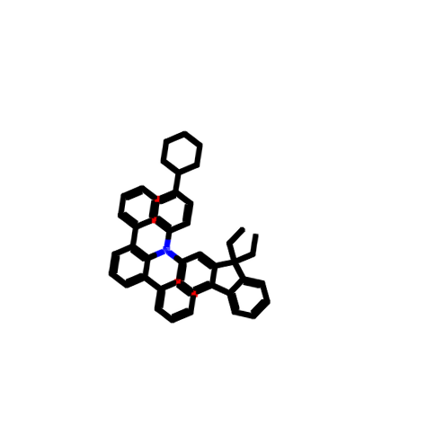 CCC1(CC)c2ccccc2-c2ccc(N(c3ccc(C4CCCCC4)cc3)c3c(-c4ccccc4)cccc3-c3ccccc3)cc21